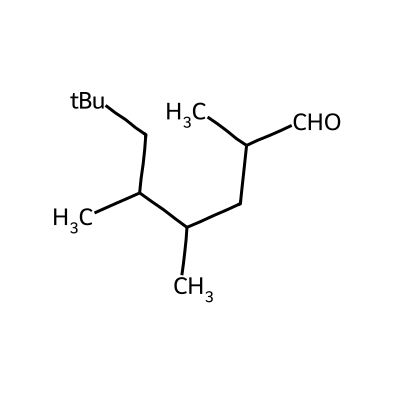 CC(C=O)CC(C)C(C)CC(C)(C)C